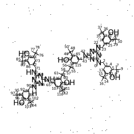 CN(Cc1cc(C(C)(C)C)c(O)c(C(C)(C)C)c1)c1nc(N(C)Cc2cc(C(C)(C)C)c(O)c(C(C)(C)C)c2)nc(N(C)Cc2cc(C(C)(C)C)c(O)c(C(C)(C)CCC(C)(C)c3cc(CNc4nc(NCc5cc(C(C)(C)C)c(O)c(C(C)(C)C)c5)nc(NCc5cc(C(C)(C)C)c(O)c(C(C)(C)C)c5)n4)cc(C(C)(C)C)c3O)c2)n1